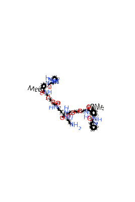 COc1ccc(NC(=O)c2cn3ncccc3n2)cc1C(=O)NCCOCCOCC(=O)NCCCC[C@H](NC(=O)COCCOCCNC(=O)c1cc(NC(=O)C2=CC3C=CC=CC3=N2)ccc1OC)C(=O)NCCCN